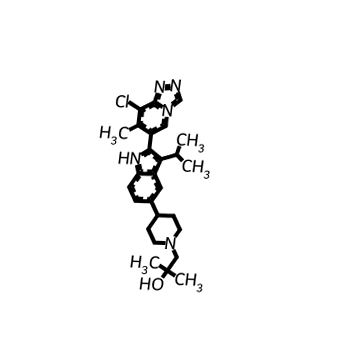 Cc1c(-c2[nH]c3ccc(C4CCN(CC(C)(C)O)CC4)cc3c2C(C)C)cn2cnnc2c1Cl